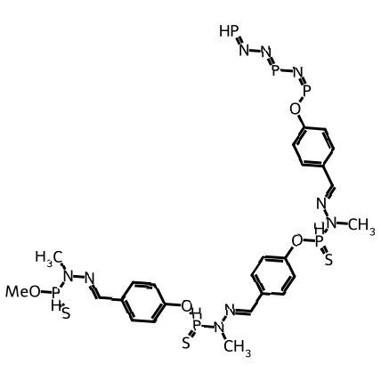 CO[PH](=S)N(C)N=Cc1ccc(O[PH](=S)N(C)N=Cc2ccc(O[PH](=S)N(C)N=Cc3ccc(O/P=N\P=N\N=P)cc3)cc2)cc1